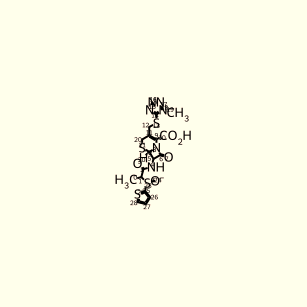 CC(C(=O)NC1C(=O)N2C(C(=O)O)=C(CSc3nnnn3C)CS[C@@H]12)[S+]([O-])c1cccs1